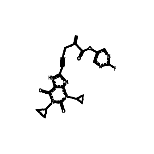 C=C(CC#Cc1nc2c([nH]1)c(=O)n(C1CC1)c(=O)n2C1CC1)C(=O)Oc1cnc(F)nc1